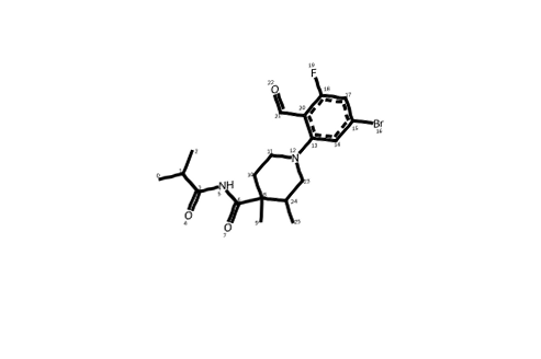 CC(C)C(=O)NC(=O)C1(C)CCN(c2cc(Br)cc(F)c2C=O)CC1C